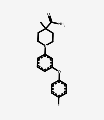 CC1(C(N)=O)CCN(c2cccc(Oc3ccc(F)cc3)c2)CC1